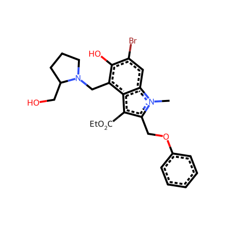 CCOC(=O)c1c(COc2ccccc2)n(C)c2cc(Br)c(O)c(CN3CCCC3CO)c12